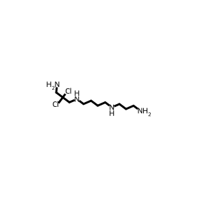 NCCCNCCCCNCC(Cl)(Cl)CN